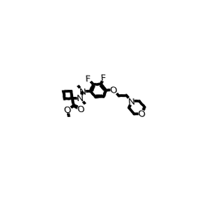 COC(=O)C1(N(C)N(C)c2ccc(OCCN3CCOCC3)c(F)c2F)CCC1